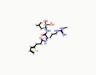 CNC(=N)NCCC[C@H](NC(=O)CCc1cccs1)C(=O)N[C@@H](CC(C)C)B(O)O